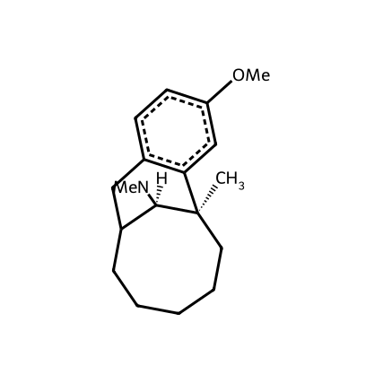 CN[C@@H]1C2CCCCC[C@]1(C)c1cc(OC)ccc1C2